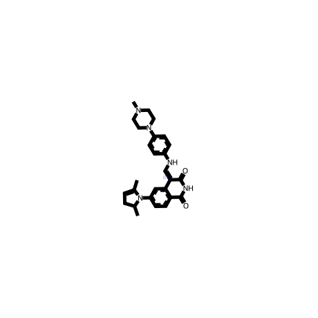 CC1=CCC(C)N1c1ccc2c(c1)/C(=C/Nc1ccc(N3CCN(C)CC3)cc1)C(=O)NC2=O